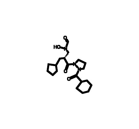 O=CN(O)C[C@@H](CC1CCCC1)C(=O)N1CCCN1C(=O)C1CCCCC1